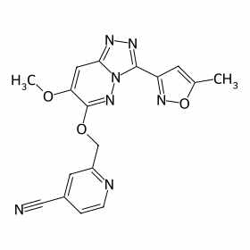 COc1cc2nnc(-c3cc(C)on3)n2nc1OCc1cc(C#N)ccn1